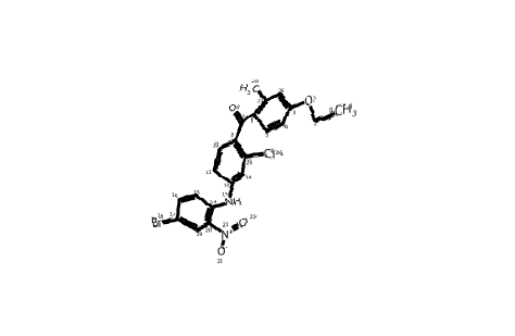 CCOc1ccc(C(=O)c2ccc(Nc3ccc(Br)cc3[N+](=O)[O-])cc2Cl)c(C)c1